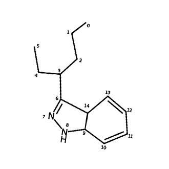 CCCC(CC)C1=NNC2C=CC=CC12